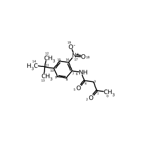 CC(=O)CC(=O)Nc1ccc(C(C)(C)C)cc1[N+](=O)[O-]